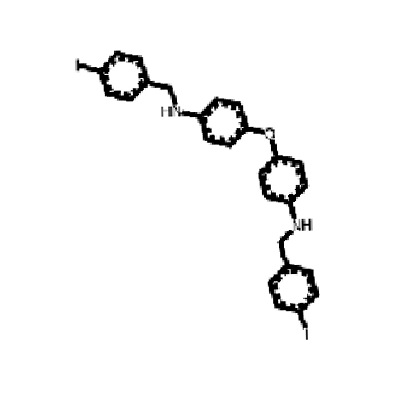 Ic1ccc(CNc2ccc(Oc3ccc(NCc4ccc(I)cc4)cc3)cc2)cc1